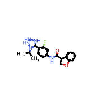 CC(C)N1NNNC1c1ccc(NC(=O)C2COc3ccccc32)cc1F